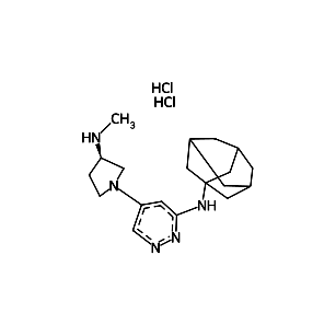 CN[C@@H]1CCN(c2cnnc(NC34CC5CC(CC(C5)C3)C4)c2)C1.Cl.Cl